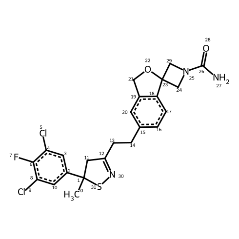 CC1(c2cc(Cl)c(F)c(Cl)c2)CC(CCc2ccc3c(c2)COC32CN(C(N)=O)C2)=NS1